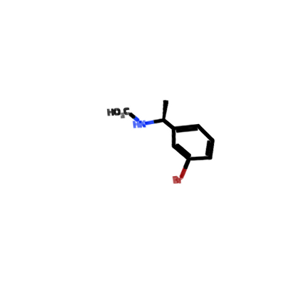 C[C@H](NC(=O)O)c1cccc(Br)c1